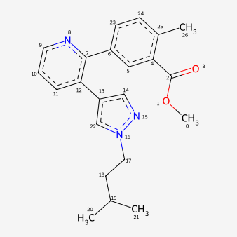 COC(=O)c1cc(-c2ncccc2-c2cnn(CCC(C)C)c2)ccc1C